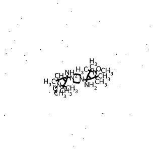 CON1C(C)(C)C2C(C1(C)C)C2(N)N1CCN(C2(N)C3C2C(C)(C)N(OC)C3(C)C)CC1